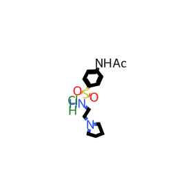 CC(=O)Nc1ccc(S(=O)(=O)NCCN2CCCC2)cc1.Cl